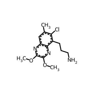 COc1nc2cc(C)c(Cl)c(CCCN)c2nc1OC